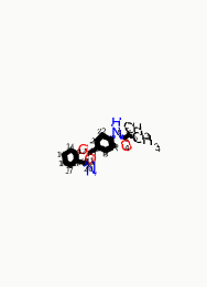 CC(C)C(=O)Nc1ccc(C(=O)Oc2ccccc2C#N)cc1